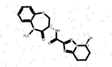 CC(C)[C@H]1CCCc2nc(C(=O)N[C@H]3COc4ccccc4N(C)C3=O)nn21